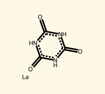 O=c1[nH]c(=O)[nH]c(=O)[nH]1.[La]